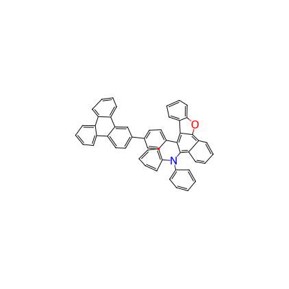 c1ccc(N(c2ccccc2)c2c(-c3ccc(-c4ccc5c6ccccc6c6ccccc6c5c4)cc3)c3c4ccccc4oc3c3ccccc23)cc1